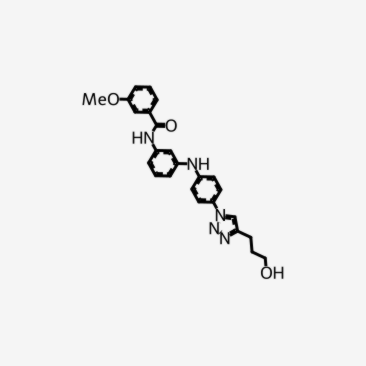 COc1cccc(C(=O)Nc2cccc(Nc3ccc(-n4cc(CCCO)nn4)cc3)c2)c1